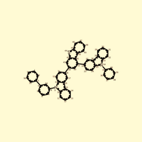 c1ccc(-c2cccc(-n3c4ccccc4c4cc(-c5cc(-c6ccc7c(c6)c6ccccc6n7-c6ccccc6)c6c(c5)sc5ccccc56)ccc43)c2)cc1